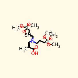 CO[Si](CCCN(C=C(C)C(=O)O)CCC[Si](OC)(OC)OC)(OC)OC